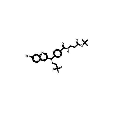 CC(C)(C)OC(=O)CCNC(=O)c1ccc([C@@H](CCC(F)(F)F)c2cnc3cc(O)ccc3c2)cc1